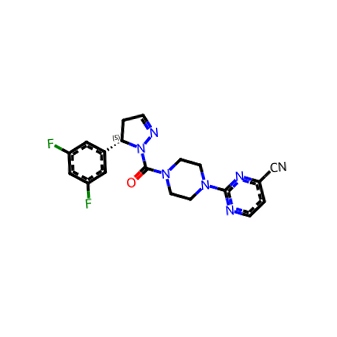 N#Cc1ccnc(N2CCN(C(=O)N3N=CC[C@H]3c3cc(F)cc(F)c3)CC2)n1